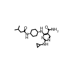 CC(C)CC(=O)N[C@H]1CC[C@@H](Nc2nc(NC3CC3)ncc2C(N)=O)CC1